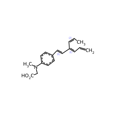 C=C/C=C(\C=C/C)/C=C/c1ccc(N(C)CC(=O)O)cc1